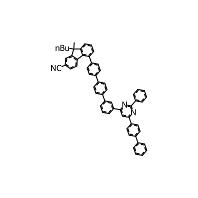 CCCCC1(C)c2cc(C#N)ccc2-c2c(-c3ccc(-c4ccc(-c5cccc(-c6cc(-c7ccc(-c8ccccc8)cc7)nc(-c7ccccc7)n6)c5)cc4)cc3)cccc21